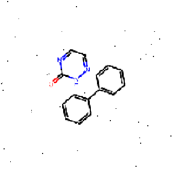 O=c1nccn[nH]1.c1ccc(-c2ccccc2)cc1